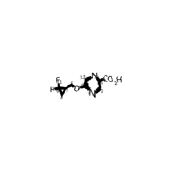 O=C(O)c1cnc(OCC2CC2(F)F)cn1